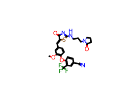 COc1cc(/C=C2\SC(NCCCN3CCCC3=O)=NC2=O)ccc1Oc1ccc(C#N)cc1C(F)(F)F